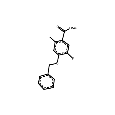 COC(=O)c1cc(F)c(OCc2ccccc2)cc1C